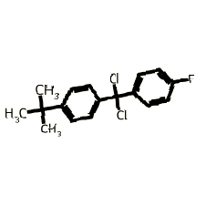 CC(C)(C)c1ccc(C(Cl)(Cl)c2ccc(F)cc2)cc1